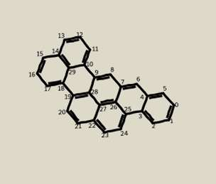 c1ccc2c(c1)cc1cc3c4cccc5cccc(c6ccc7ccc2c1c7c63)c54